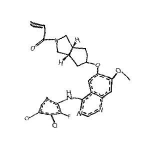 C=CC(=O)N1C[C@H]2CC(Oc3cc4c(Nc5ccc(Cl)c(Cl)c5F)ncnc4cc3OC)C[C@H]2C1